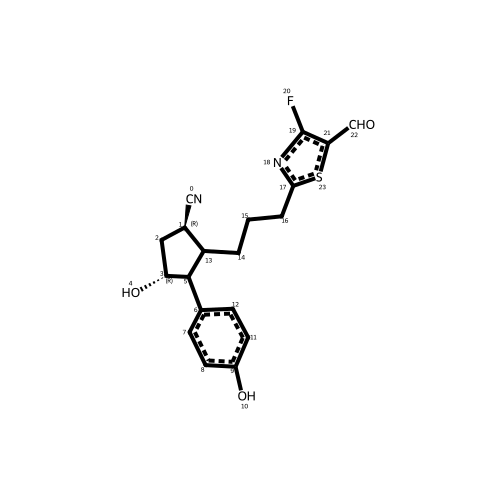 N#C[C@@H]1C[C@@H](O)C(c2ccc(O)cc2)C1CCCc1nc(F)c(C=O)s1